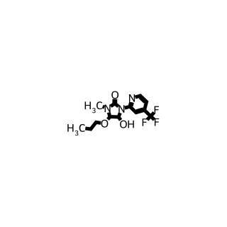 CCCOC1C(O)N(c2cc(C(F)(F)F)ccn2)C(=O)N1C